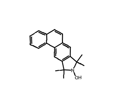 CC1(C)c2cc3ccc4ccccc4c3cc2C(C)(C)N1O